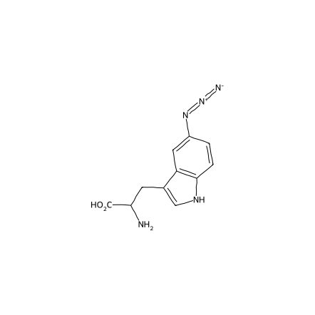 [N-]=[N+]=Nc1ccc2[nH]cc(CC(N)C(=O)O)c2c1